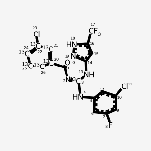 O=C(/N=[13C](/Nc1cc(F)cc(Cl)c1)Nc1cc(C(F)(F)F)[nH]n1)[13C]1=[13CH][13C](Cl)=[13CH][13CH2][13CH2]1